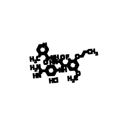 CCCOc1cc(OC)cc(C(Nc2ccc(C(=N)N)cc2)C(=O)NNC(=O)c2cnccc2C)c1F.Cl